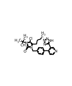 CCCCc1c(Cl)n(C(C)(C)C)c(=O)n1Cc1ccc(-c2ccncc2-c2nnn[nH]2)cc1